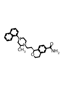 C[C@H]1CN(c2cccc3ccccc23)CCN1CC[C@@H]1OCCc2cc(C(N)=O)ccc21